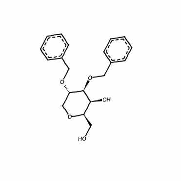 OC[C@H]1O[CH][C@H](OCc2ccccc2)[C@@H](OCc2ccccc2)[C@H]1O